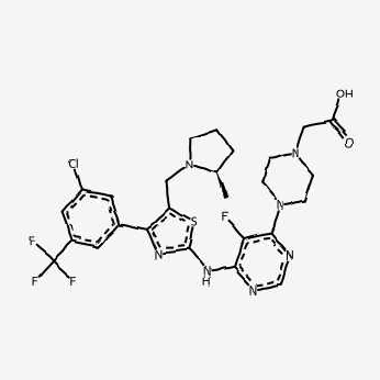 C[C@@H]1CCCN1Cc1sc(Nc2ncnc(N3CCN(CC(=O)O)CC3)c2F)nc1-c1cc(Cl)cc(C(F)(F)F)c1